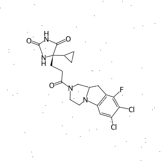 O=C1NC(=O)[C@](CCC(=O)N2CCN3c4cc(Cl)c(Cl)c(F)c4CC3C2)(C2CC2)N1